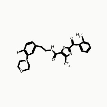 Cc1ccccc1C(=O)c1nc(C(F)(F)F)c(C(=O)NCCc2ccc(F)c(N3CCOCC3)c2)s1